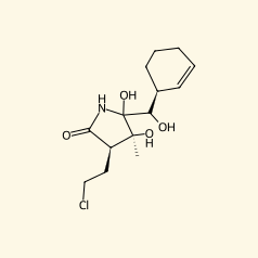 C[C@]1(O)[C@@H](CCCl)C(=O)NC1(O)C(O)[C@@H]1C=CCCC1